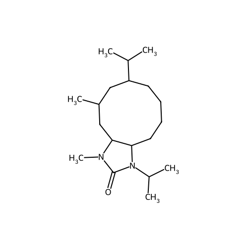 CC1CC(C(C)C)CCCCC2C(C1)N(C)C(=O)N2C(C)C